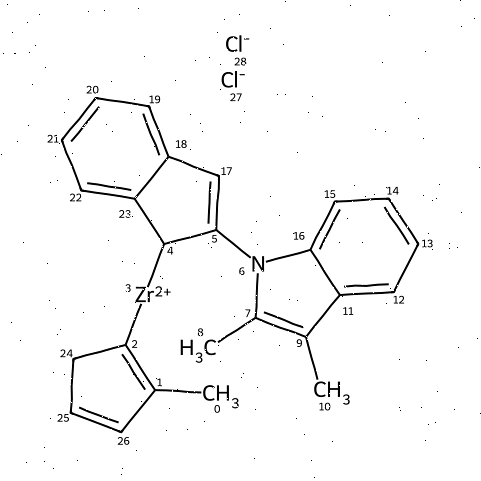 CC1=[C]([Zr+2][CH]2C(n3c(C)c(C)c4ccccc43)=Cc3ccccc32)CC=C1.[Cl-].[Cl-]